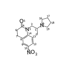 CC(CN1C(=O)CCc2cc([N+](=O)[O-])ccc21)N1CCCC1